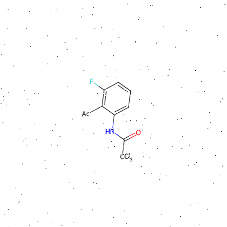 CC(=O)c1c(F)cccc1NC(=O)C(Cl)(Cl)Cl